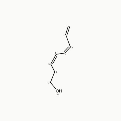 C=C/C=C\C=C/CCO